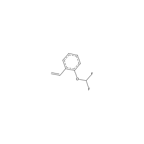 C=Cc1ccccc1OC(F)F